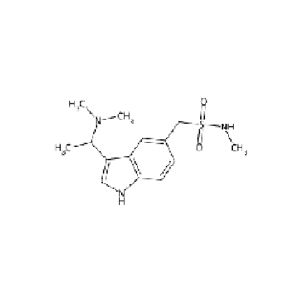 CNS(=O)(=O)Cc1ccc2[nH]cc(C(C)N(C)C)c2c1